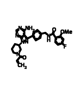 C=CC(=O)N1CCC[C@@H](n2nc(-c3ccc(CNC(=O)c4ccc(F)cc4OC)cc3)c3c(N)ncnc32)C1